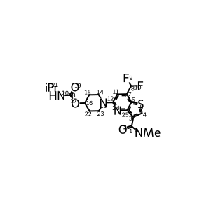 CNC(=O)c1csc2c(C(F)F)cc(N3CCC(OC(=O)NC(C)C)CC3)nc12